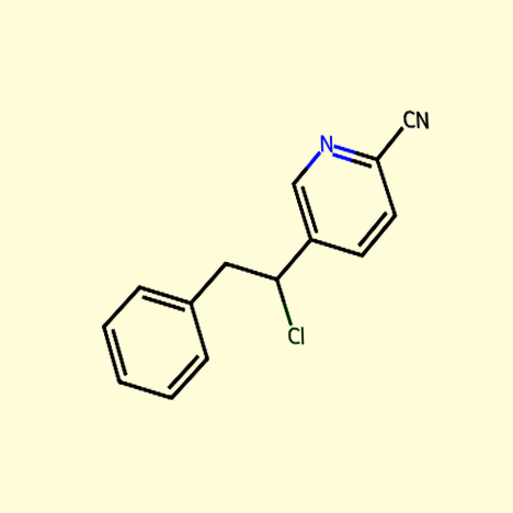 N#Cc1ccc(C(Cl)Cc2ccccc2)cn1